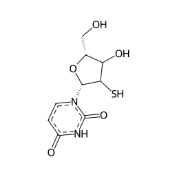 O=c1ccn([C@@H]2O[C@H](CO)C(O)C2S)c(=O)[nH]1